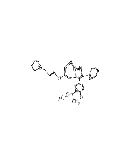 CC(C)n1nc(-c2c(-c3ccccc3)nn3ccc(OCCN4CCCC4)cc23)ccc1=O